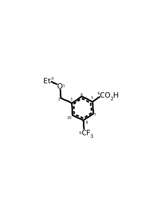 CCOCc1cc(C(=O)O)cc(C(F)(F)F)c1